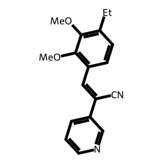 CCc1ccc(/C=C(\C#N)c2cccnc2)c(OC)c1OC